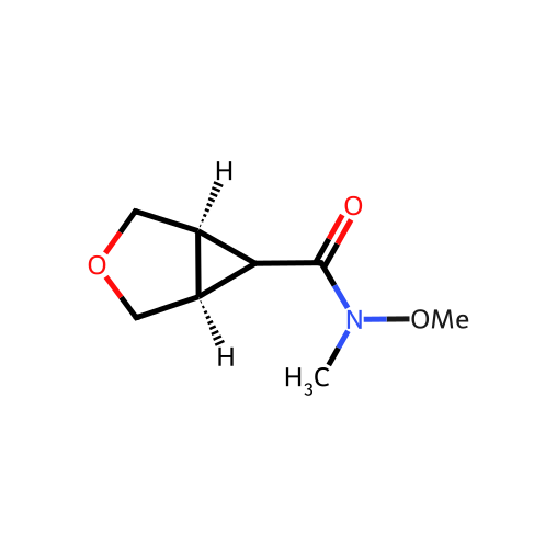 CON(C)C(=O)C1[C@H]2COC[C@@H]12